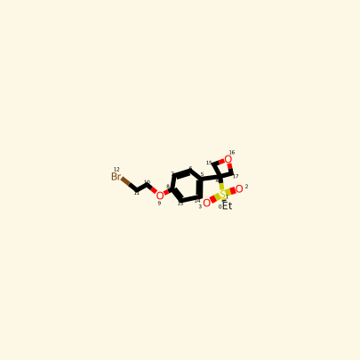 CCS(=O)(=O)C1(c2ccc(OCCBr)cc2)COC1